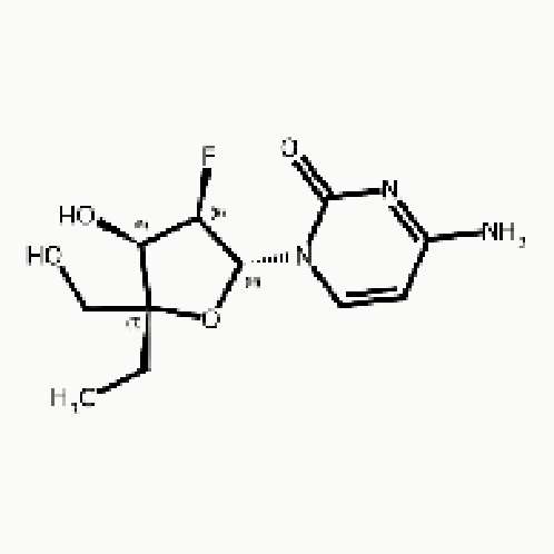 CC[C@]1(CO)O[C@@H](n2ccc(N)nc2=O)[C@H](F)[C@@H]1O